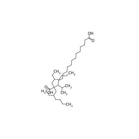 CCCCC(CC)CC(CC(CC)CCCC)(C(=O)O)C(CCCCCCCCCCCCCC(=O)O)C(C)C